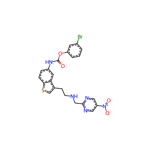 O=C(Nc1ccc2scc(CCNCc3ncc([N+](=O)[O-])cn3)c2c1)Oc1cccc(Br)c1